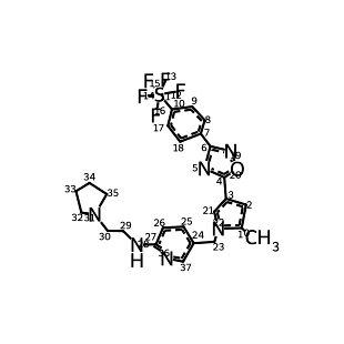 Cc1cc(-c2nc(-c3ccc(S(F)(F)(F)(F)F)cc3)no2)cn1Cc1ccc(NCCN2CCCC2)nc1